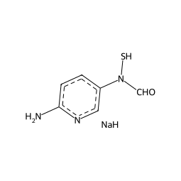 Nc1ccc(N(S)C=O)cn1.[NaH]